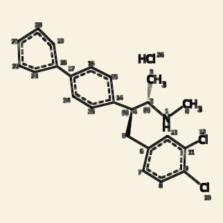 CN[C@@H](C)[C@@H](Cc1ccc(Cl)c(Cl)c1)c1ccc(-c2ccccc2)cc1.Cl